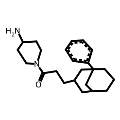 NC1CCN(C(=O)CCC2CC3CCCC(c4ccccc4)(C3)C2)CC1